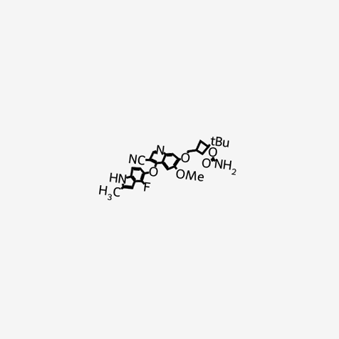 COc1cc2c(Oc3ccc4[nH]c(C)cc4c3F)c(C#N)cnc2cc1OCC1CC(OC(N)=O)(C(C)(C)C)C1